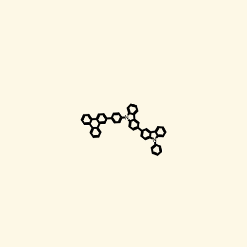 c1ccc(-n2c3ccccc3c3cc(-c4ccc5c(c4)c4ccccc4n5-c4ccc(-c5ccc6c7ccccc7c7ccccc7c6c5)cc4)ccc32)cc1